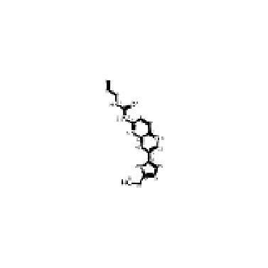 C=CCNC(=O)Nc1ccc2ncc(-c3ccc(CO)s3)nc2n1